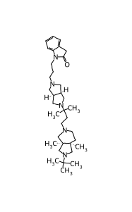 CC(C)(C)N1C[C@]2(C)CCN(CCC(C)(C)N3C[C@H]4CN(CCCN5C(=O)Cc6ccccc65)C[C@H]4C3)C[C@]2(C)C1